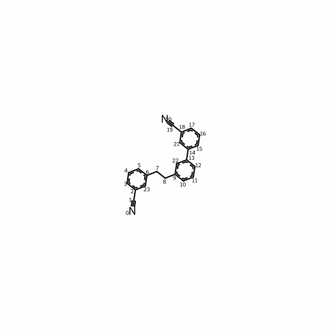 N#Cc1cccc(CCc2cccc(-c3cccc(C#N)c3)c2)c1